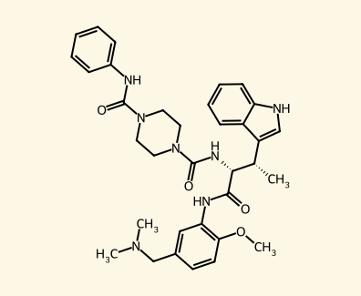 COc1ccc(CN(C)C)cc1NC(=O)[C@H](NC(=O)N1CCN(C(=O)Nc2ccccc2)CC1)[C@@H](C)c1c[nH]c2ccccc12